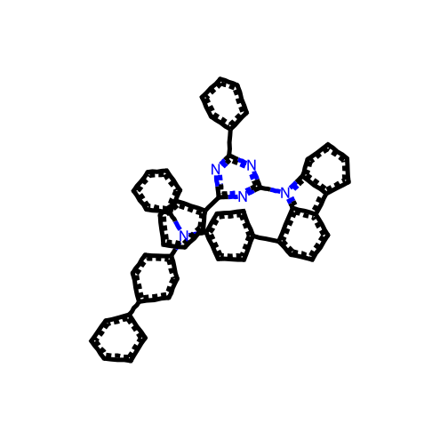 c1ccc(-c2ccc(N(c3ccccc3)c3ccc(-c4cccc5c6ccccc6n(-c6nc(-c7ccccc7)nc(-c7ccccc7)n6)c45)cc3)cc2)cc1